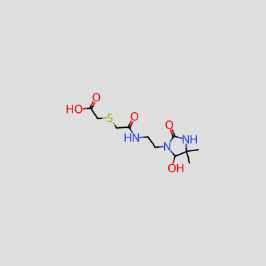 CC1(C)NC(=O)N(CCNC(=O)CSCC(=O)O)C1O